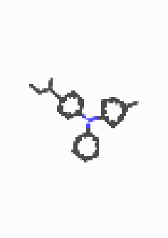 CCC(C)c1ccc(N(c2ccccc2)c2ccc(C)cc2)cc1